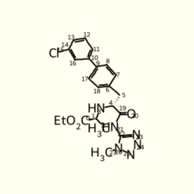 CCOC(=O)[C@H](C)N[C@H](Cc1ccc(-c2cccc(Cl)c2)cc1)C(=O)Nc1nnnn1C